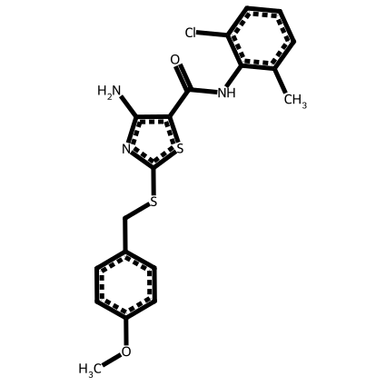 COc1ccc(CSc2nc(N)c(C(=O)Nc3c(C)cccc3Cl)s2)cc1